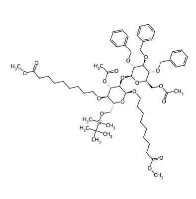 COC(=O)CCCCCCCCO[C@H]1O[C@H](CO[Si](C)(C)C(C)(C)C)[C@@H](OCCCCCCCCC(=O)OC)[C@H](OC(C)=O)[C@H]1O[C@@H]1O[C@H](COC(C)=O)[C@@H](OCc2ccccc2)[C@H](OCc2ccccc2)[C@H]1OCc1ccccc1